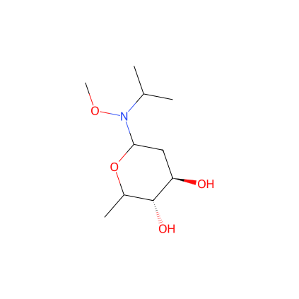 CON(C(C)C)C1C[C@@H](O)[C@H](O)C(C)O1